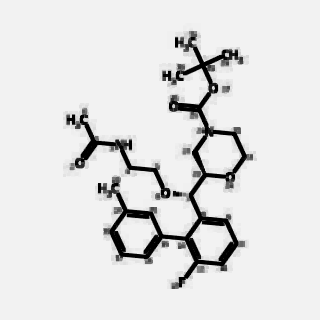 CC(=O)NCCO[C@@H](c1cccc(F)c1-c1cccc(C)c1)[C@H]1CN(C(=O)OC(C)(C)C)CCO1